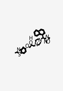 Cc1nc2cc(OC[C@H](O)CN3CCN(C(c4ncon4)c4cccc5ccccc45)CC3)ccc2s1